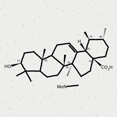 CNC.C[C@H]1[C@H](C)CC[C@]2(C(=O)O)CC[C@]3(C)C(=CCC4[C@@]5(C)CC[C@H](O)C(C)(C)C5CC[C@]43C)[C@H]12